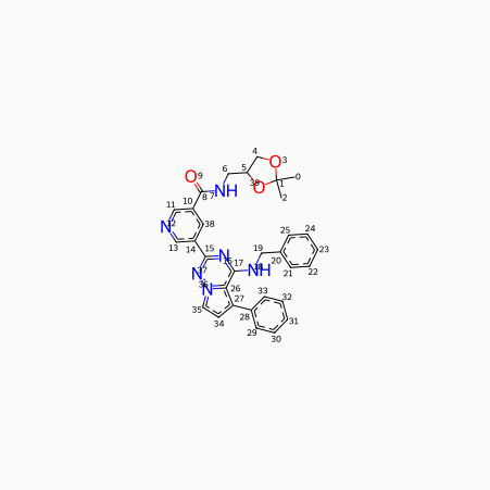 CC1(C)OCC(CNC(=O)c2cncc(-c3nc(NCc4ccccc4)c4c(-c5ccccc5)ccn4n3)c2)O1